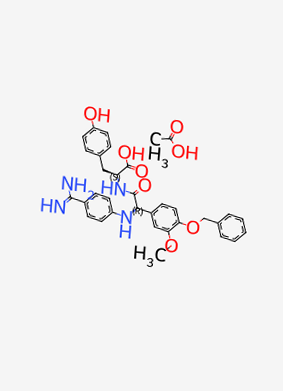 CC(=O)O.COc1cc([C@@H](Nc2ccc(C(=N)N)cc2)C(=O)N[C@@H](Cc2ccc(O)cc2)C(=O)O)ccc1OCc1ccccc1